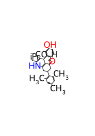 Cc1cc(C)c(C2CC(=O)C3=C(C2)NC(CC(C)C)=C(C(=O)O)C3c2cccc(O)c2)c(C)c1